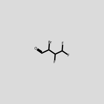 O=CC(Br)C(F)C(F)F